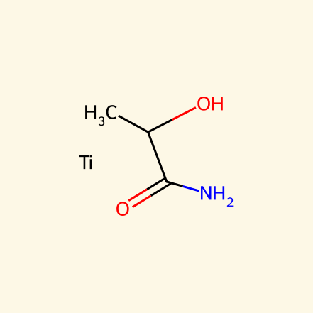 CC(O)C(N)=O.[Ti]